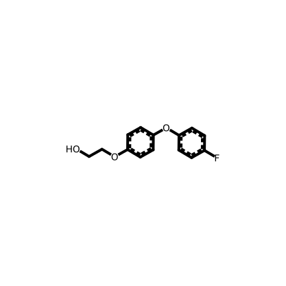 OCCOc1ccc(Oc2ccc(F)cc2)cc1